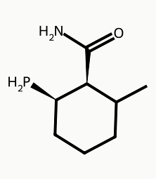 CC1CCC[C@@H](P)[C@H]1C(N)=O